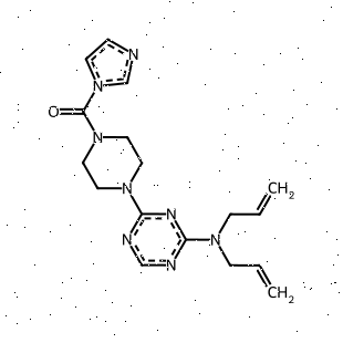 C=CCN(CC=C)c1ncnc(N2CCN(C(=O)n3ccnc3)CC2)n1